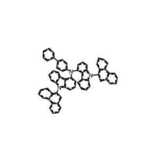 c1ccc(-c2ccc(N(c3cccc4c3c3ccccc3n4-c3cc4ccccc4c4ccccc34)c3cccc4c3c3ccccc3n4-c3cc4ccccc4c4ccccc34)cc2)cc1